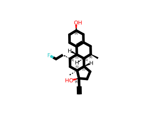 C#C[C@@]1(O)CC[C@H]2[C@H]3[C@@H](C4=C(C[C@H](O)CC4)C[C@H]3C)[C@@H](CCF)C[C@@]21C